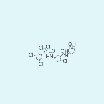 O=C(Nc1ccc[n+](O)c1)c1cc(NC(=O)C2C(c3cc(Cl)cc(Cl)c3)C2(Cl)Cl)ccc1Cl